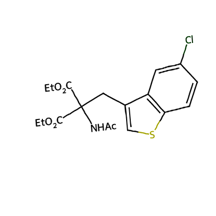 CCOC(=O)C(Cc1csc2ccc(Cl)cc12)(NC(C)=O)C(=O)OCC